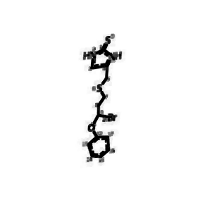 S=c1[nH]cc(CSCCC(Br)Oc2ccccc2)[nH]1